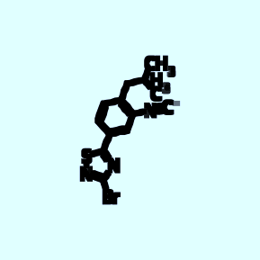 [C-]#[N+]c1cc(-c2nc(Br)ns2)ccc1CC(C)C